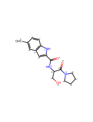 O=Cc1ccc2[nH]c(C(=O)NC(CO)C(=O)N3CCCC3)cc2c1